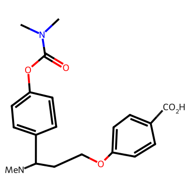 CNC(CCOc1ccc(C(=O)O)cc1)c1ccc(OC(=O)N(C)C)cc1